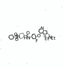 CCN(CC)Cc1cc2nccc(Oc3ccc(NC(=O)C4CCN(S(=O)(=O)c5ccccc5)CC4)cc3F)c2s1